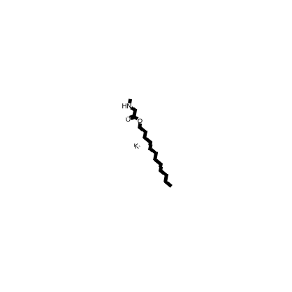 CCCCCCCCCCCCOC(=O)CNC.[K]